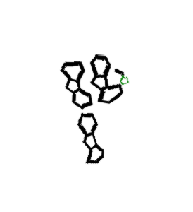 C=CCl.c1ccc2c(c1)Cc1ccccc1-2.c1ccc2c(c1)Cc1ccccc1-2.c1ccc2c(c1)Cc1ccccc1-2